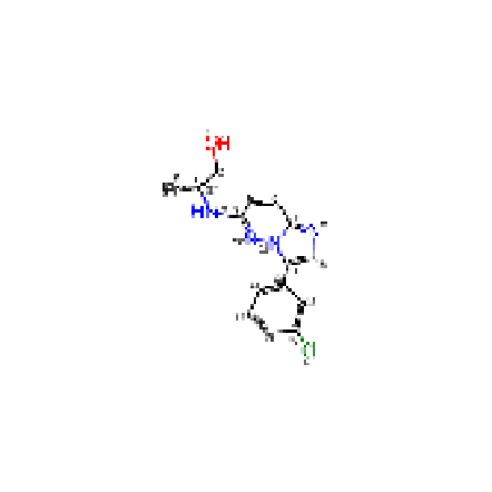 CC(C)[C@@H](CO)Nc1ccc2ncc(-c3cccc(Cl)c3)n2n1